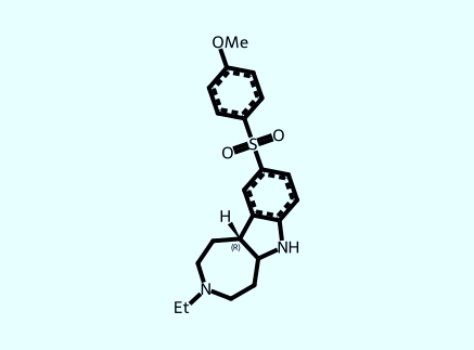 CCN1CCC2Nc3ccc(S(=O)(=O)c4ccc(OC)cc4)cc3[C@H]2CC1